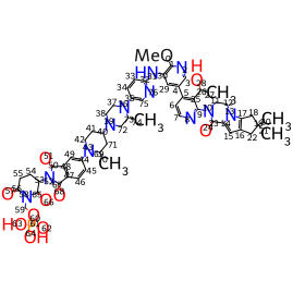 COc1ncc(-c2ccnc(N3CCn4c(cc5c4CC(C)(C)C5)C3=O)c2[C@H](C)O)cc1Nc1ccc(N2CCN(C3CCN(c4ccc5c(c4)C(=O)N(C4CCC(=O)N(COP(=O)(O)O)C4=O)C5=O)[C@H](C)C3)C[C@@H]2C)cn1